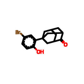 O=C1C2CC3CC1CC(c1cc(Br)ccc1O)(C3)C2